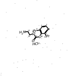 CC(C)c1cccc(C(C)C)c1OC(=O)OCCN.Cl